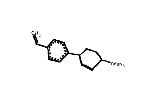 C=Cc1ccc(C2CCC(CCCCC)CC2)cc1